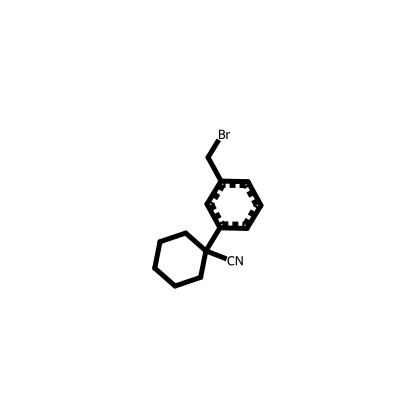 N#CC1(c2cccc(CBr)c2)CCCCC1